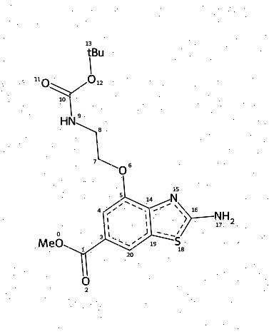 COC(=O)c1cc(OCCNC(=O)OC(C)(C)C)c2nc(N)sc2c1